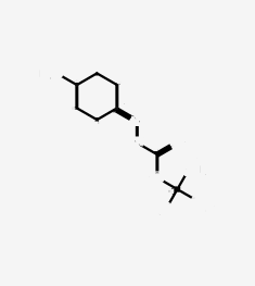 CC1CCC(=NNC(=O)OC(C)(C)C)CC1